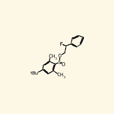 Cc1cc(C(C)(C)C)cc(C)c1S(=O)OCC(F)c1ccccc1